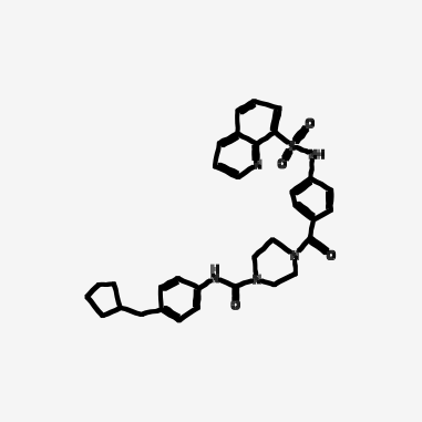 O=C(Nc1ccc(CC2CCCC2)cc1)N1CCN(C(=O)c2ccc(NS(=O)(=O)c3cccc4cccnc34)cc2)CC1